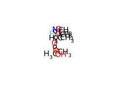 COc1cc(-c2ccc(COc3cccc(CC(C)P(C)(=O)O)c3)cc2[C@@H](OC)C(C)(C)C)c(F)cn1